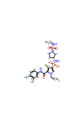 CCn1cc(S(=O)(=O)N[C@@H]2CCN(S(=O)(=O)NC)C2)c(F)c1C(=O)Nc1ccc(F)c(F)c1